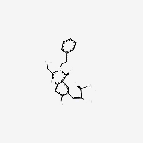 CCc1nc2cc(Cl)c(/C=C(/O)C(N)=O)cc2c(=O)n1CCc1ccccc1